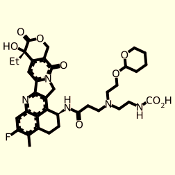 CC[C@@]1(O)C(=O)OCc2c1cc1n(c2=O)Cc2c-1nc1cc(F)c(C)c3c1c2[C@@H](NC(=O)CCN(CCNC(=O)O)CCOC1CCCCO1)CC3